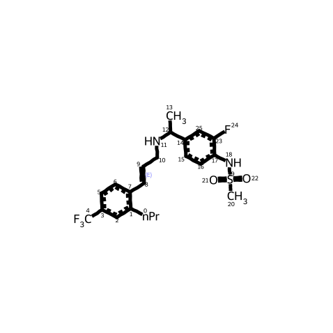 CCCc1cc(C(F)(F)F)ccc1/C=C/CNC(C)c1ccc(NS(C)(=O)=O)c(F)c1